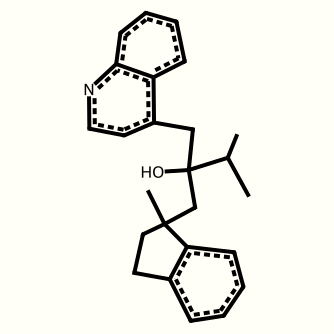 CC(C)C(O)(Cc1ccnc2ccccc12)CC1(C)CCc2ccccc21